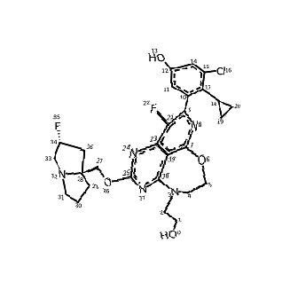 OCCN1CCOc2nc(-c3cc(O)cc(Cl)c3C3CC3)c(F)c3nc(OC[C@@]45CCCN4C[C@H](F)C5)nc1c23